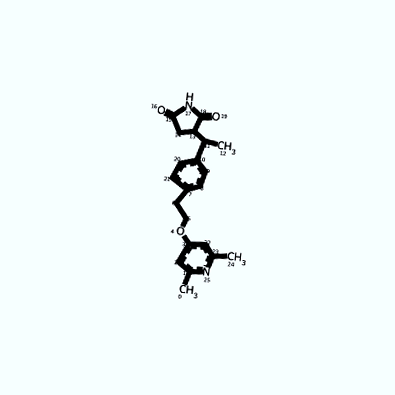 Cc1cc(OCCc2ccc(C(C)C3CC(=O)NC3=O)cc2)cc(C)n1